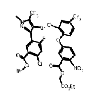 CC(C)OC(=O)c1cc(-c2nn(C)c(C(F)(F)F)c2Br)c(F)cc1Cl.CCOC(=O)COC(=O)c1cc(Oc2ccc(C(F)(F)F)cc2Cl)ccc1[N+](=O)[O-]